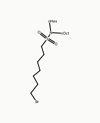 CCCCCCCCN(CCCCCC)S(=O)(=O)CCCCCCCBr